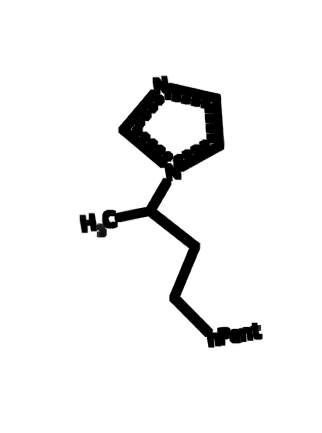 CCCCCCCC(C)n1ccnc1